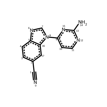 N#Cc1ccc2ncn(-c3ccnc(N)n3)c2c1